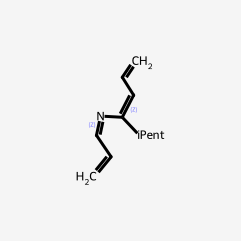 C=C/C=N\C(=C/C=C)C(C)CCC